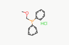 COCP(c1ccccc1)c1ccccc1.Cl